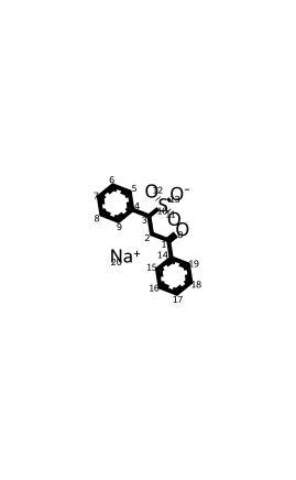 O=C(CC(c1ccccc1)S(=O)(=O)[O-])c1ccccc1.[Na+]